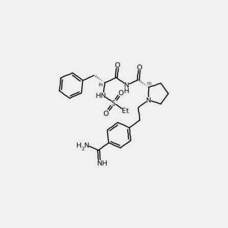 CCS(=O)(=O)N[C@H](Cc1ccccc1)C(=O)NC(=O)[C@@H]1CCCN1CCc1ccc(C(=N)N)cc1